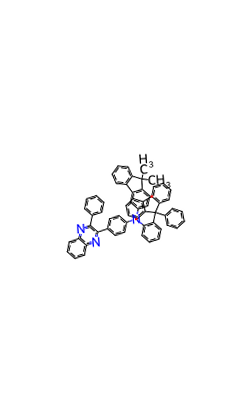 CC1(C)c2ccccc2-c2cc(N(c3ccc(-c4nc5ccccc5nc4-c4ccccc4)cc3)c3ccccc3C3(c4ccccc4)c4ccccc4-c4ccccc43)ccc21